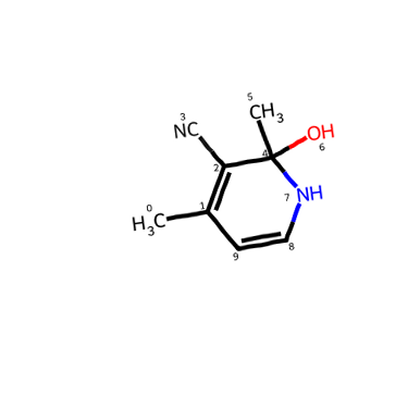 CC1=C(C#N)C(C)(O)NC=C1